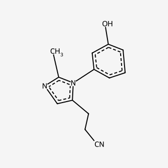 Cc1ncc(CCC#N)n1-c1cccc(O)c1